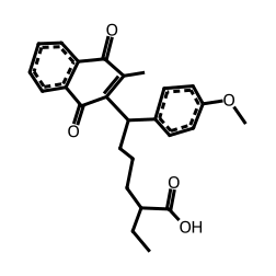 CCC(CCCC(C1=C(C)C(=O)c2ccccc2C1=O)c1ccc(OC)cc1)C(=O)O